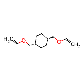 C=COC[C@H]1CC[C@H](COC=C)CC1